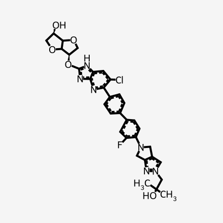 CC(C)(O)Cn1cc2c(n1)CN(c1ccc(-c3ccc(-c4nc5nc(O[C@@H]6COC7C6OC[C@H]7O)[nH]c5cc4Cl)cc3)cc1F)C2